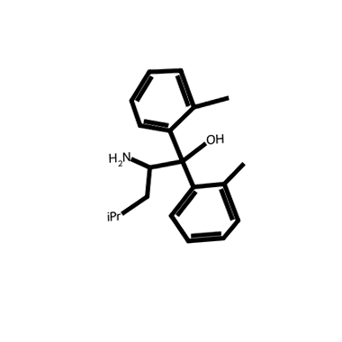 Cc1ccccc1C(O)(c1ccccc1C)C(N)CC(C)C